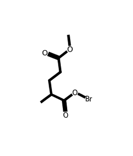 COC(=O)CCC(C)C(=O)OBr